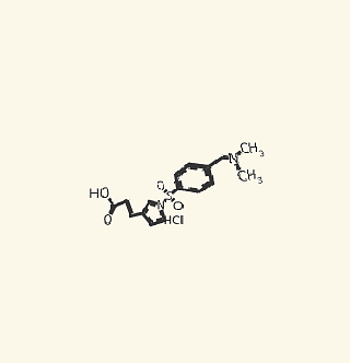 CN(C)Cc1ccc(S(=O)(=O)n2ccc(C=CC(=O)O)c2)cc1.Cl